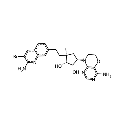 C[C@]1(CCc2ccc3cc(Br)c(N)nc3c2)C[C@@H](N2CCOc3c(N)ncnc32)[C@H](O)[C@@H]1O